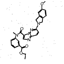 CCOC(=O)c1cccc(N(C)C(=O)c2cnc3ccc(N4Cc5ccc(OC)cc5C4)nn23)c1